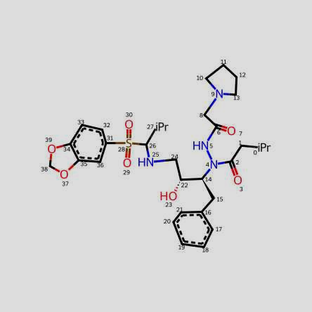 CC(C)CC(=O)N(NC(=O)CN1CCCC1)[C@@H](Cc1ccccc1)[C@H](O)CNC(C(C)C)S(=O)(=O)c1ccc2c(c1)OCO2